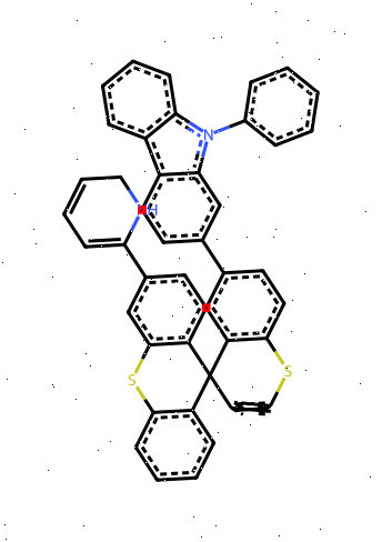 C1=CCNC(c2ccc3c(c2)Sc2ccccc2C32c3ccccc3Sc3ccc(-c4ccc5c6ccccc6n(-c6ccccc6)c5c4)cc32)=C1